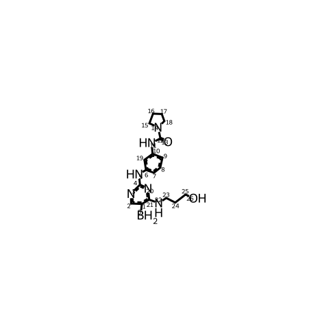 Bc1cnc(Nc2cccc(NC(=O)N3CCCC3)c2)nc1NCCCO